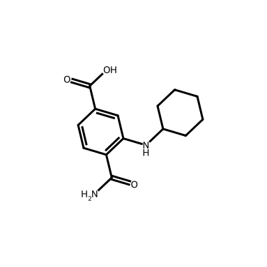 NC(=O)c1ccc(C(=O)O)cc1NC1CCCCC1